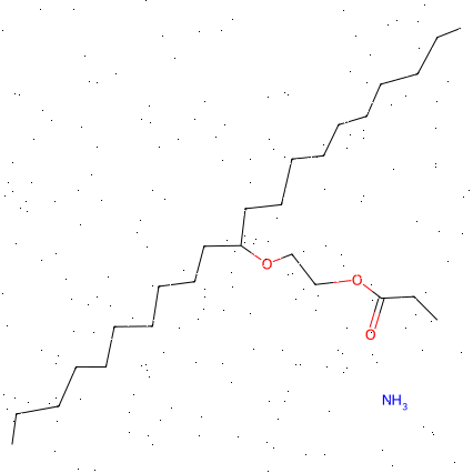 CCCCCCCCCCC(CCCCCCCCCC)OCCOC(=O)CC.N